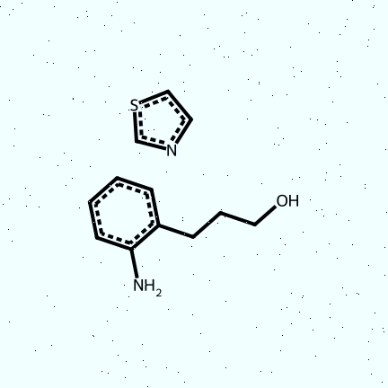 Nc1ccccc1CCCO.c1cscn1